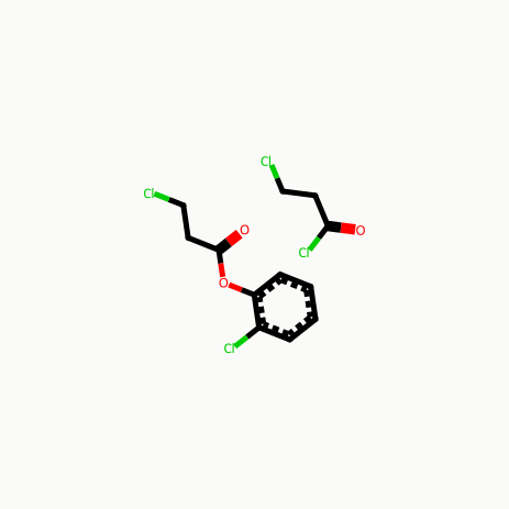 O=C(CCCl)Oc1ccccc1Cl.O=C(Cl)CCCl